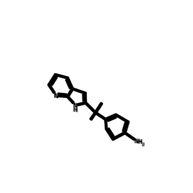 CC(C)(c1ccc(N)cc1)c1cc2cccnc2[nH]1